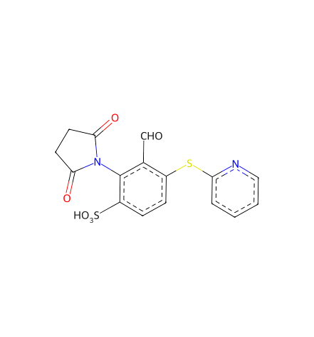 O=Cc1c(Sc2ccccn2)ccc(S(=O)(=O)O)c1N1C(=O)CCC1=O